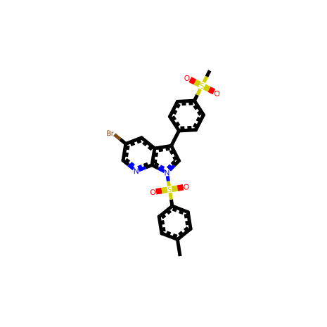 Cc1ccc(S(=O)(=O)n2cc(-c3ccc(S(C)(=O)=O)cc3)c3cc(Br)cnc32)cc1